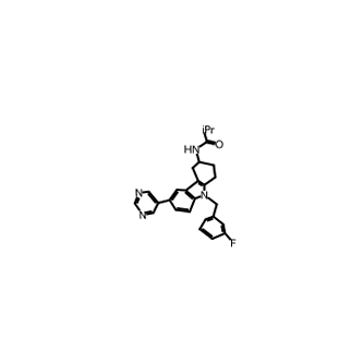 CC(C)C(=O)NC1CCc2c(c3cc(-c4cncnc4)ccc3n2Cc2cccc(F)c2)C1